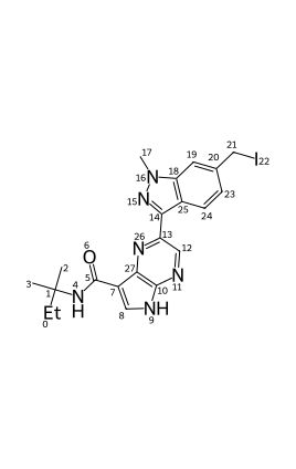 CCC(C)(C)NC(=O)c1c[nH]c2ncc(-c3nn(C)c4cc(CI)ccc34)nc12